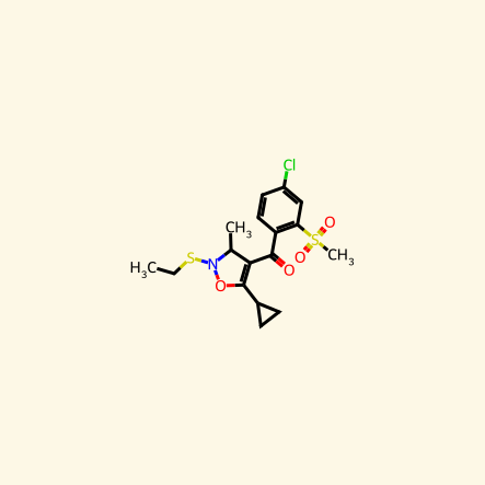 CCSN1OC(C2CC2)=C(C(=O)c2ccc(Cl)cc2S(C)(=O)=O)C1C